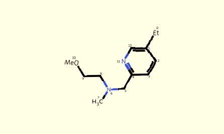 CCc1ccc(CN(C)CCOC)nc1